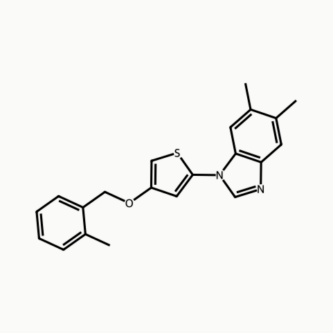 Cc1cc2ncn(-c3cc(OCc4ccccc4C)cs3)c2cc1C